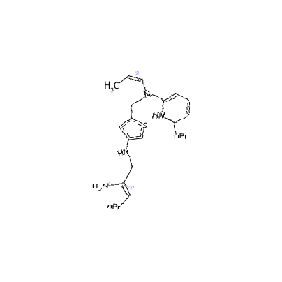 C/C=C\N(Cc1cc(NC/C(N)=C/CCC)cs1)C1=CC=CC(CCC)N1